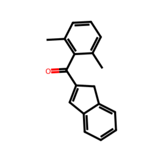 Cc1cccc(C)c1C(=O)C1=Cc2ccccc2C1